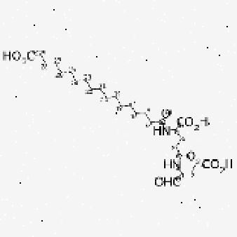 O=CC(CCC(=O)O)NC(=O)CCC(NC(=O)CCCCCCCCCCCCCCCCC(=O)O)C(=O)O